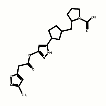 Cc1cc(CC(=O)Nc2cc(C3CCC(C[C@H]4CCCN4C(=O)O)C3)[nH]n2)on1